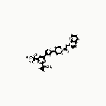 CC(C)(C)c1cc(-c2csc(C3CCN(C(=O)Cn4cnc5cccnc54)CC3)c2)nc(C2(C)CC2)n1